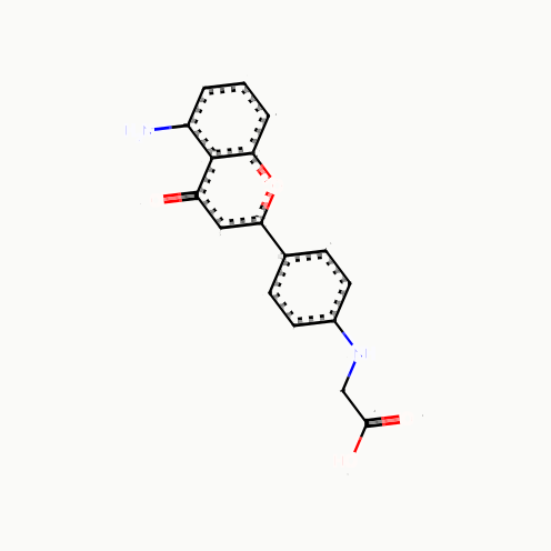 Nc1cccc2oc(-c3ccc(NCC(=O)O)cc3)cc(=O)c12